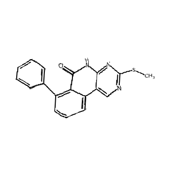 CSc1ncc2c(n1)[nH]c(=O)c1c(-c3ccccc3)cccc12